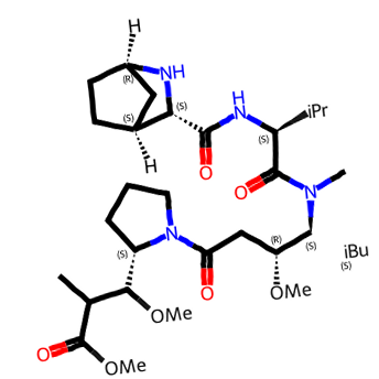 CC[C@H](C)[C@@H]([C@@H](CC(=O)N1CCC[C@H]1C(OC)C(C)C(=O)OC)OC)N(C)C(=O)[C@@H](NC(=O)[C@H]1N[C@@H]2CC[C@H]1C2)C(C)C